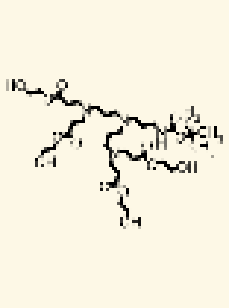 CC(C)(C)OC(=O)NCCCN(CCCN(CCC(=O)OCCO)CCC(=O)OCCO)CCCN(CCC(=O)OCCO)CCC(=O)OCCO